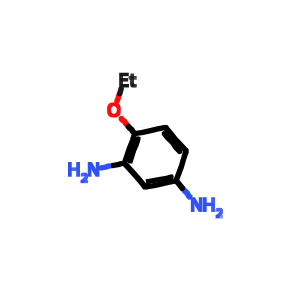 CCOc1ccc(N)cc1N